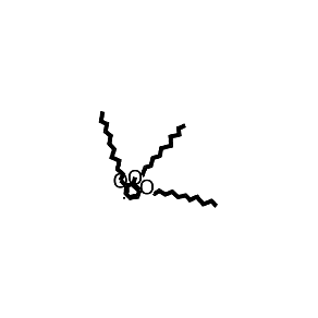 CCCCCCCCCCCOc1c[c]cc(OCCCCCCCCCCC)c1OCCCCCCCCCCC